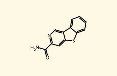 NC(=O)c1cc2sc3ccccc3c2cn1